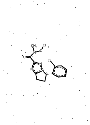 CON(C)C(=O)c1nc2n(n1)[C@H](c1ccccc1Cl)CC2